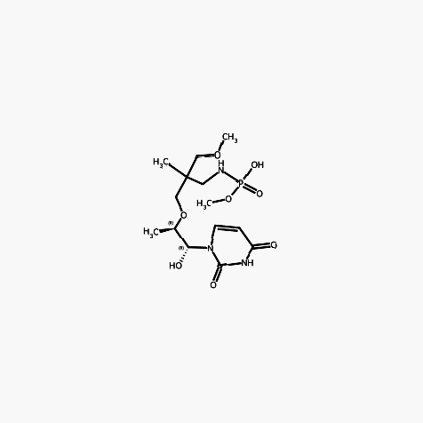 COCC(C)(CNP(=O)(O)OC)CO[C@H](C)[C@@H](O)n1ccc(=O)[nH]c1=O